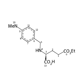 CCOC(=O)CC[C@H](NCc1ccc(NC)cc1)C(=O)O